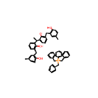 Cc1ccc(O)c(Cc2cccc(C(C)c3cccc(Cc4cc(C)ccc4O)c3O)c2[O-])c1.c1ccc(C[P+](Cc2ccccc2)(Cc2ccccc2)c2ccccc2)cc1